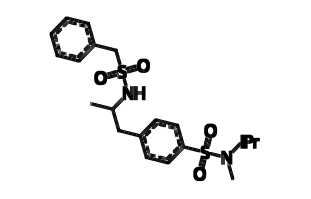 CC(Cc1ccc(S(=O)(=O)N(C)C(C)C)cc1)NS(=O)(=O)Cc1ccccc1